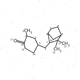 CC1CC(CC2C3CCC(C3)C2(C)C)CCC1=O